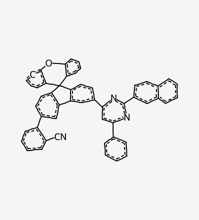 N#Cc1ccccc1-c1ccc2c(c1)-c1cc(-c3cc(-c4ccccc4)nc(-c4ccc5ccccc5c4)n3)ccc1C21c2ccccc2Oc2ccccc21